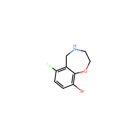 Fc1ccc(Br)c2c1CNCCO2